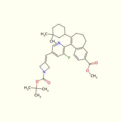 COC(=O)c1ccc2c(c1)CCCC(C1CCCC(C)(C)C1)=C2c1ncc(C=C2CN(C(=O)OC(C)(C)C)C2)cc1F